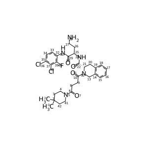 CC1(C)CCN(C(=O)CCC(=O)N2Cc3ccccc3C[C@H]2C(=O)NC(CCN)C(=O)Nc2ccc(Cl)c(Cl)c2F)CC1